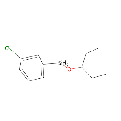 CCC(CC)O[SiH2]c1cccc(Cl)c1